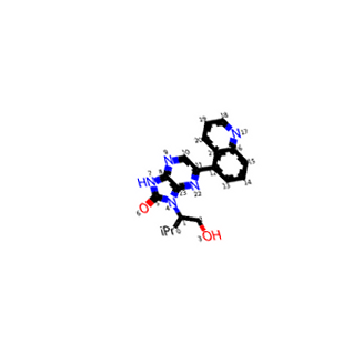 CC(C)C(CO)n1c(=O)[nH]c2ncc(-c3cccc4ncccc34)nc21